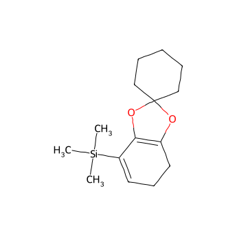 C[Si](C)(C)C1=CCCC2=C1OC1(CCCCC1)O2